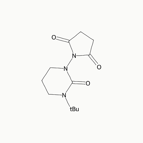 CC(C)(C)N1CCCN(N2C(=O)CCC2=O)C1=O